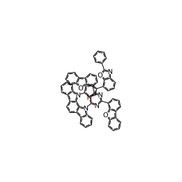 c1ccc(-c2nc3cccc(-c4ccc(-n5c6ccccc6c6ccc7c8ccccc8n(-c8nc(-c9cccc%10c9oc9ccccc9%10)nc(-c9cccc%10c9oc9ccccc9%10)n8)c7c65)cc4)c3o2)cc1